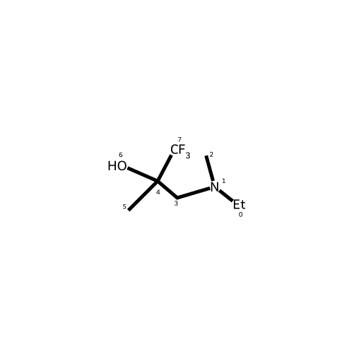 CCN(C)CC(C)(O)C(F)(F)F